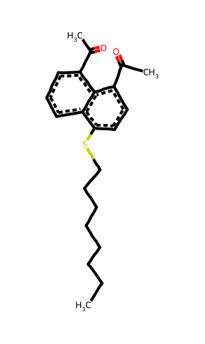 CCCCCCCCSc1ccc(C(C)=O)c2c(C(C)=O)cccc12